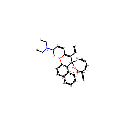 C=CC1=C(/C=C\C(C)N(CC)CC)Oc2ccc3ccccc3c2C12C/C=C\C=C/C(=C)C(=O)O2